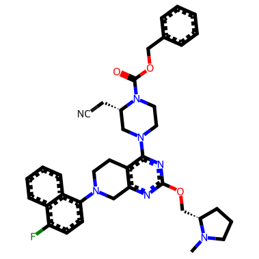 CN1CCC[C@H]1COc1nc2c(c(N3CCN(C(=O)OCc4ccccc4)[C@@H](CC#N)C3)n1)CCN(c1ccc(F)c3ccccc13)C2